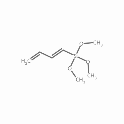 C=CC=C[Si](OC)(OC)OC